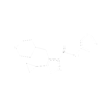 O=C(Nc1ccccc1)c1noc(C2CC2)c1CC1CCNCC1